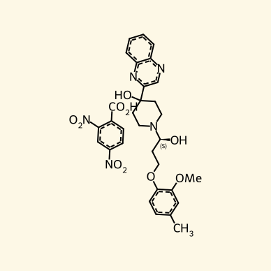 COc1cc(C)ccc1OCC[C@H](O)N1CCC(O)(c2cnc3ccccc3n2)CC1.O=C(O)c1ccc([N+](=O)[O-])cc1[N+](=O)[O-]